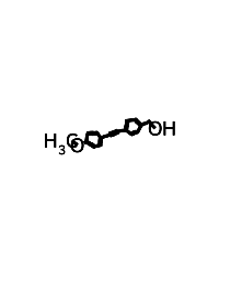 COc1ccc(C#Cc2ccc(CO)cc2)cc1